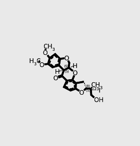 COc1cc2c(cc1OC)[C@@H]1C(=O)c3ccc4c(c3O[C@@H]1CO2)C[C@H]([C@@](C)([123I])CO)O4